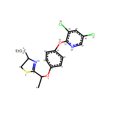 CCOC(=O)C1CSC(C(C)Oc2ccc(Oc3ncc(Cl)cc3Cl)cc2)=N1